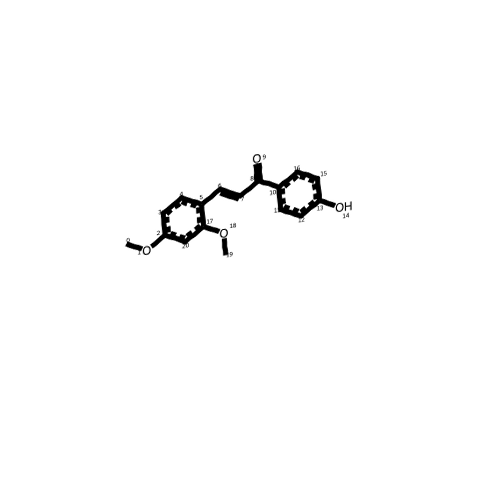 COc1ccc(/C=C/C(=O)c2ccc(O)cc2)c(OC)c1